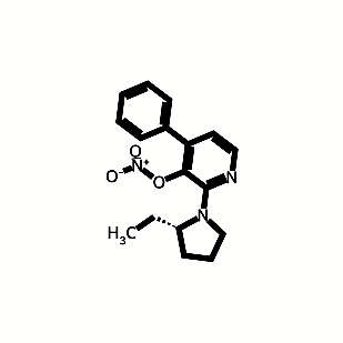 CC[C@H]1CCCN1c1nccc(-c2ccccc2)c1O[N+](=O)[O-]